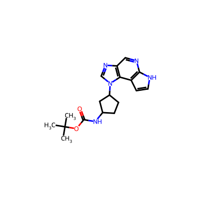 CC(C)(C)OC(=O)NC1CCC(n2cnc3cnc4[nH]ccc4c32)C1